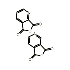 O=C1OC(=O)c2cnccc21.O=C1OC(=O)c2ncccc21